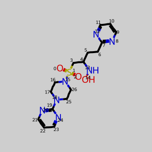 O=S(=O)(CC(CCc1ncccn1)NO)N1CCN(c2ncccn2)CC1